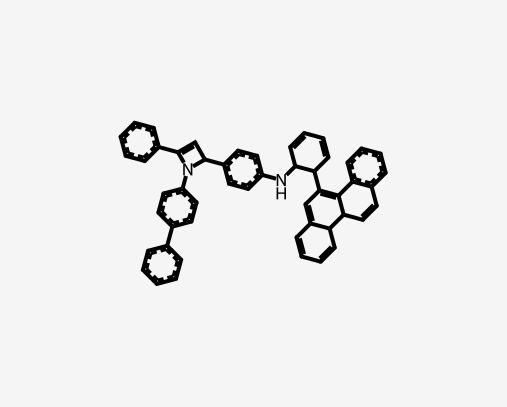 C1=CC2=CC(C3C=CC=CC3Nc3ccc(C4C=C(c5ccccc5)N4c4ccc(-c5ccccc5)cc4)cc3)=C3c4ccccc4C=CC3C2C=C1